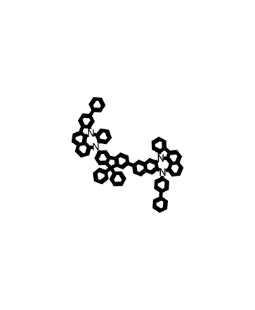 c1ccc(-c2ccc(-n3c4cccc5ccc6c7ccccc7n(c7cc8cc(-c9ccc%10c(c9)C(c9ccccc9)(c9ccccc9)c9ccc(-n%11c%12cccc%13ccc%14c%15ccc(-c%16ccccc%16)cc%15n(c%15ccccc%15%11)c%14c%13%12)cc9-%10)ccc8cc73)c6c54)cc2)cc1